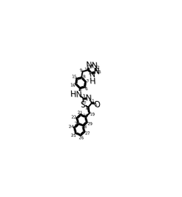 O=C1N=C(Nc2ccc(Cc3nnn[nH]3)cc2)S/C1=C\c1ccc2ccccc2c1